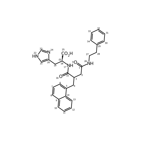 O=C(CC(Cc1cccc2ccccc12)C(=O)N[C@@H](Cc1c[nH]cn1)C(=O)O)NCCc1ccccc1